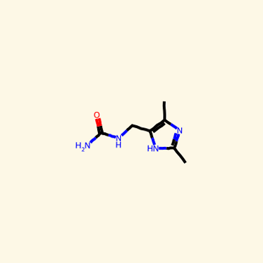 Cc1nc(C)c(CNC(N)=O)[nH]1